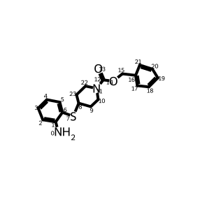 Nc1ccccc1SC1CCN(C(=O)OCc2ccccc2)CC1